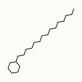 CCCCCCCCCCCCCC[CH]C1CCCCC1